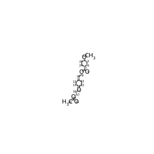 COc1ccc(C(=O)O/C=C/c2ccc(OCCOC(C)=O)cc2)cc1